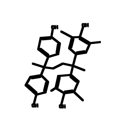 Cc1cc(C(C)(CCC(C)(c2ccc(O)cc2)c2ccc(O)cc2)c2cc(C)c(O)c(C)c2)cc(C)c1O